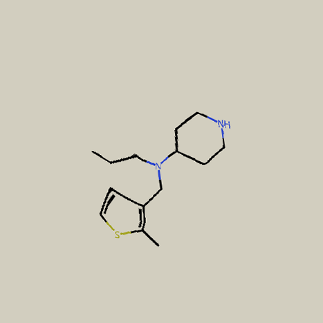 CCCN(Cc1ccsc1C)C1CCNCC1